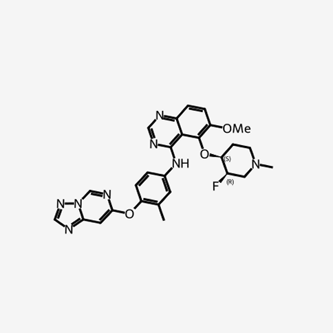 COc1ccc2ncnc(Nc3ccc(Oc4cc5ncnn5cn4)c(C)c3)c2c1O[C@H]1CCN(C)C[C@H]1F